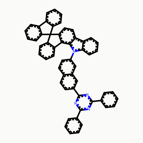 c1ccc(-c2nc(-c3ccccc3)nc(-c3ccc4ccc(-n5c6ccccc6c6ccc7c(c65)-c5ccccc5C75c6ccccc6-c6ccccc65)cc4c3)n2)cc1